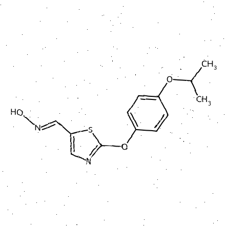 CC(C)Oc1ccc(Oc2ncc(/C=N/O)s2)cc1